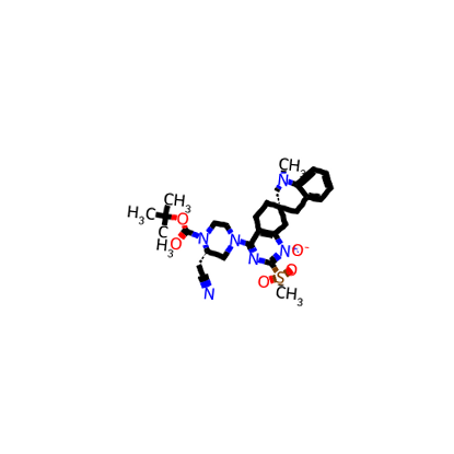 CN1C[C@]2(CCc3c(N4CCN(C(=O)OC(C)(C)C)[C@@H](CC#N)C4)nc(S(C)(=O)=O)[n+]([O-])c3C2)Cc2ccccc21